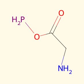 NCC(=O)OP